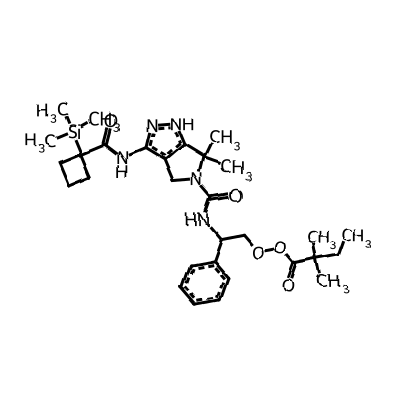 CCC(C)(C)C(=O)OOCC(NC(=O)N1Cc2c(NC(=O)C3([Si](C)(C)C)CCC3)n[nH]c2C1(C)C)c1ccccc1